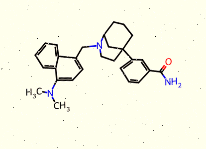 CN(C)c1ccc(CN2CCC3(c4cccc(C(N)=O)c4)CCCC2C3)c2ccccc12